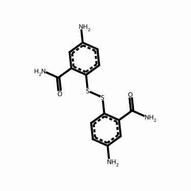 NC(=O)c1cc(N)ccc1SSc1ccc(N)cc1C(N)=O